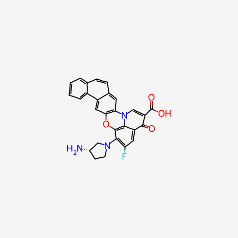 N[C@H]1CCN(c2c(F)cc3c(=O)c(C(=O)O)cn4c3c2Oc2cc3c(ccc5ccccc53)cc2-4)C1